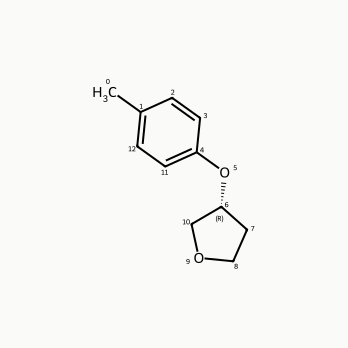 Cc1ccc(O[C@@H]2CCOC2)cc1